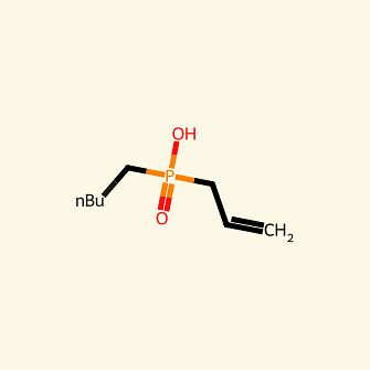 C=CCP(=O)(O)CCCCC